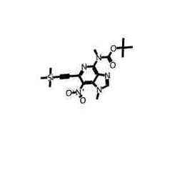 CN(C(=O)OC(C)(C)C)c1nc(C#C[Si](C)(C)C)c([N+](=O)[O-])c2c1ncn2C